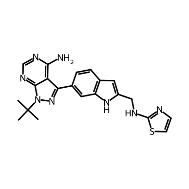 CC(C)(C)n1nc(-c2ccc3cc(CNc4nccs4)[nH]c3c2)c2c(N)ncnc21